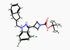 CC(C)(C)OC(=O)N1CC(c2nn(CC3Cc4ccccc4C3)c3cc(F)cc(F)c23)C1